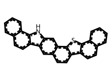 c1ccc2c(c1)ccc1c3cc4ccc5c6ccc7ccccc7c6sc5c4cc3[nH]c21